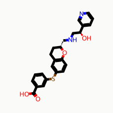 O=C(O)c1cccc(Sc2ccc3c(c2)CC[C@H](CNC[C@H](O)c2cccnc2)O3)c1